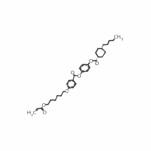 C=CC(=O)OCCCCCCOc1ccc(C(=O)Oc2ccc(OC(=O)[C@H]3CC[C@H](CCCCC)CC3)cc2)cc1